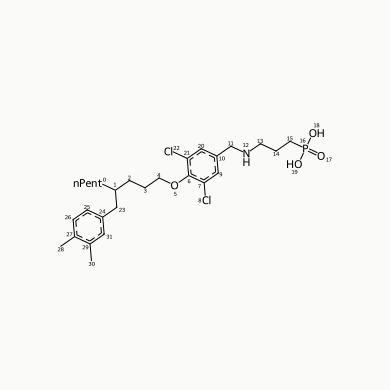 CCCCCC(CCCOc1c(Cl)cc(CNCCCP(=O)(O)O)cc1Cl)Cc1ccc(C)c(C)c1